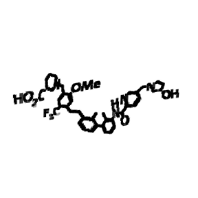 COc1cc(/C=C/c2cccc(-c3cccc(NC(=O)c4ccc(CN5CC[C@@H](O)C5)cn4)c3C)c2C)c(C(F)(F)F)cc1CN1CCC[C@@H](C(=O)O)C1